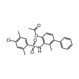 CC(=O)Oc1ccc(-c2ccccc2)c(C)c1NS(=O)(=O)c1cc(C)c(Cl)cc1C